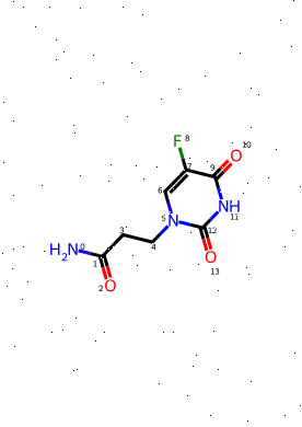 NC(=O)CCn1cc(F)c(=O)[nH]c1=O